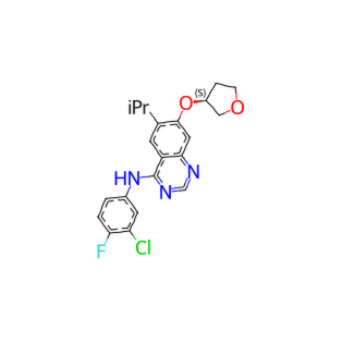 CC(C)c1cc2c(Nc3ccc(F)c(Cl)c3)ncnc2cc1O[C@H]1CCOC1